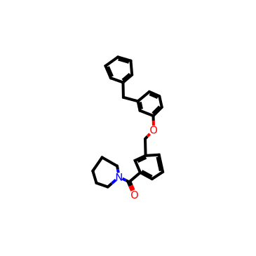 O=C(c1cccc(COc2cccc(Cc3ccccc3)c2)c1)N1CCCCC1